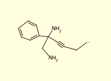 [CH2]CC#CC(N)(CN)c1ccccc1